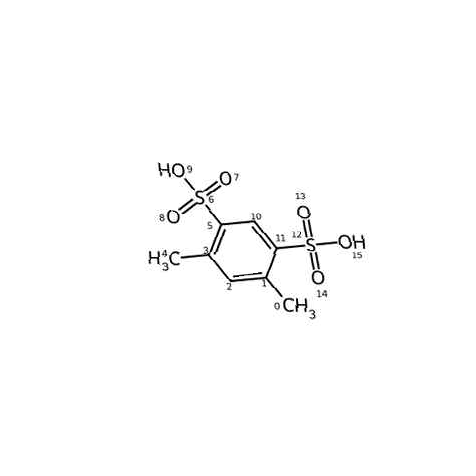 Cc1cc(C)c(S(=O)(=O)O)cc1S(=O)(=O)O